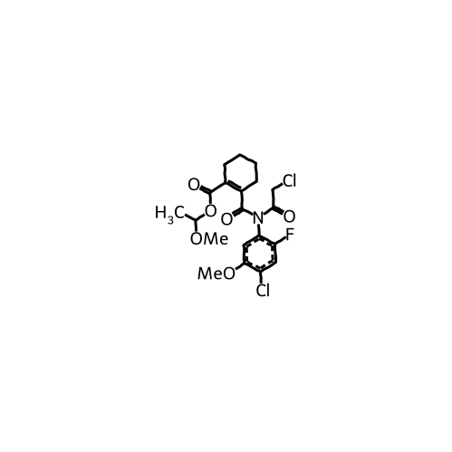 COc1cc(N(C(=O)CCl)C(=O)C2=C(C(=O)OC(C)OC)CCCC2)c(F)cc1Cl